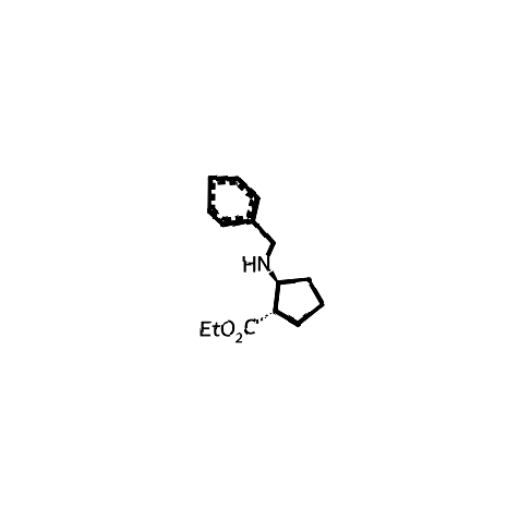 CCOC(=O)[C@H]1CCC[C@@H]1NCc1ccccc1